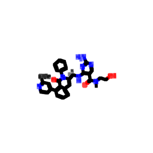 COc1cc(-c2cccc3cc([C@H](C)Nc4nc(N)ncc4C(=O)N(C)CCO)n(-c4ccccc4)c(=O)c23)ccn1